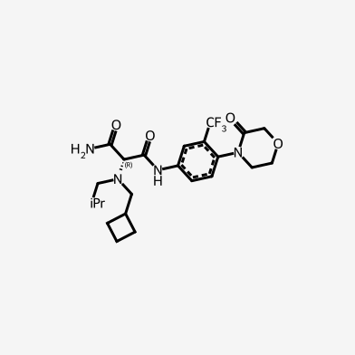 CC(C)CN(CC1CCC1)[C@H](C(N)=O)C(=O)Nc1ccc(N2CCOCC2=O)c(C(F)(F)F)c1